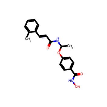 Cc1ccccc1/C=C/C(=O)NC(C)Oc1ccc(C(=O)NO)cc1